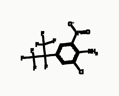 Nc1c(Cl)cc(C(F)(C(F)(F)F)C(F)(F)F)cc1[N+](=O)[O-]